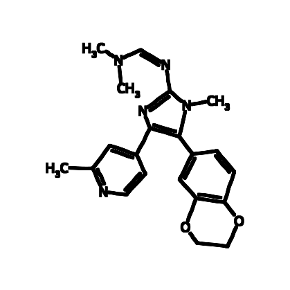 Cc1cc(-c2nc(/N=C\N(C)C)n(C)c2-c2ccc3c(c2)OCCO3)ccn1